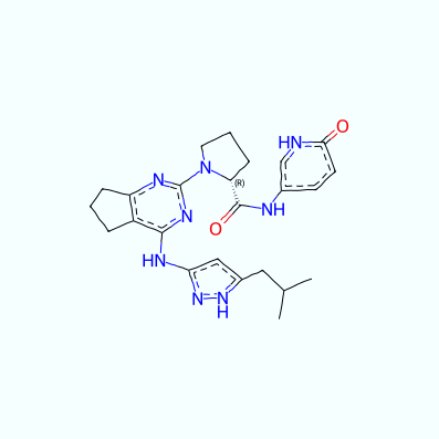 CC(C)Cc1cc(Nc2nc(N3CCC[C@@H]3C(=O)Nc3ccc(=O)[nH]c3)nc3c2CCC3)n[nH]1